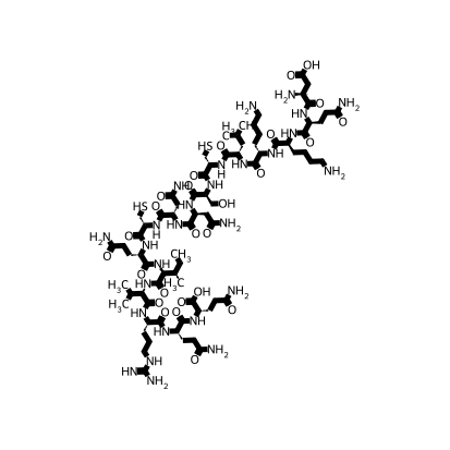 CC[C@H](C)[C@H](NC(=O)[C@H](CCC(N)=O)NC(=O)[C@H](CS)NC(=O)[C@H](CC(N)=O)NC(=O)[C@H](CC(N)=O)NC(=O)[C@H](CO)NC(=O)[C@H](CS)NC(=O)[C@H](CC(C)C)NC(=O)[C@H](CCCCN)NC(=O)[C@H](CCCCN)NC(=O)[C@H](CCC(N)=O)NC(=O)[C@@H](N)CC(=O)O)C(=O)N[C@H](C(=O)N[C@@H](CCCNC(=N)N)C(=O)N[C@@H](CCC(N)=O)C(=O)N[C@@H](CCC(N)=O)C(=O)O)C(C)C